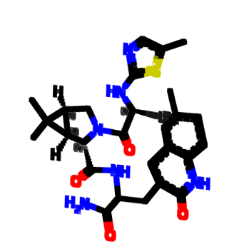 Cc1ccc2[nH]c(=O)c(CC(NC(=O)[C@@H]3[C@@H]4[C@H](CN3C(=O)[C@@H](Nc3ncc(C)s3)C(C)(C)C)C4(C)C)C(N)=O)cc2c1